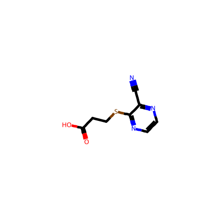 N#Cc1nccnc1SCCC(=O)O